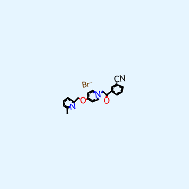 Cc1cccc(COc2cc[n+](CC(=O)c3cccc(C#N)c3)cc2)n1.[Br-]